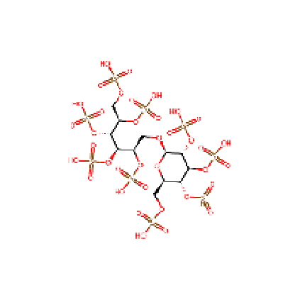 O=[SH](=O)O[C@H]1[C@H](OS(=O)(=O)O)[C@@H](OS(=O)(=O)O)[C@H](OC[C@@H](OS(=O)(=O)O)[C@@H](OS(=O)(=O)O)[C@H](OS(=O)(=O)O)[C@@H](COS(=O)(=O)O)OS(=O)(=O)O)O[C@@H]1COS(=O)(=O)O